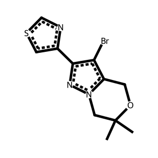 CC1(C)Cn2nc(-c3cscn3)c(Br)c2CO1